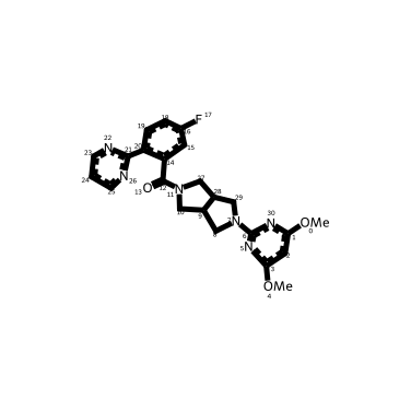 COc1cc(OC)nc(N2CC3CN(C(=O)c4cc(F)ccc4-c4ncccn4)CC3C2)n1